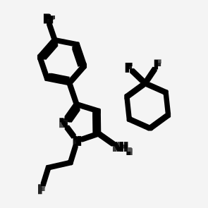 FC1(F)CCCCC1.Nc1cc(-c2ccc(Br)cc2)nn1CCF